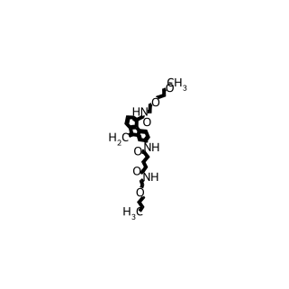 C=C1c2cc(NC(=O)CCCC(=O)NCCOCCCC)ccc2-c2c1cccc2C(=O)NCCOCCCOC